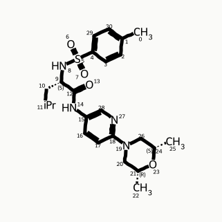 Cc1ccc(S(=O)(=O)N[C@@H](CC(C)C)C(=O)Nc2ccc(N3C[C@@H](C)O[C@@H](C)C3)nc2)cc1